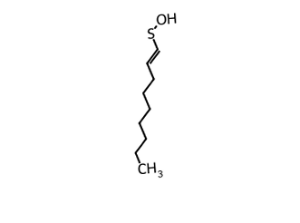 CCCCCCCC=CSO